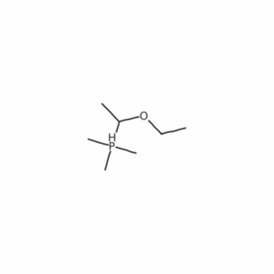 CCOC(C)[PH](C)(C)C